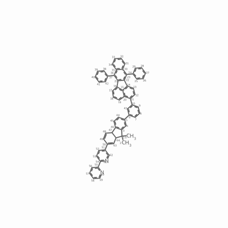 CC1(C)c2cc(-c3cccc(-c4ccc5c6c(cccc46)-c4c-5c(-c5ccccc5)c5ccccc5c4-c4ccccc4)c3)ccc2C2C=CC(c3ccc(-c4ccccn4)nc3)=CC21